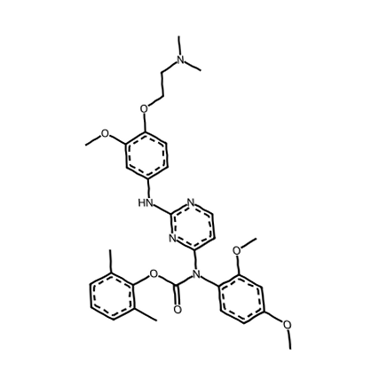 COc1ccc(N(C(=O)Oc2c(C)cccc2C)c2ccnc(Nc3ccc(OCCN(C)C)c(OC)c3)n2)c(OC)c1